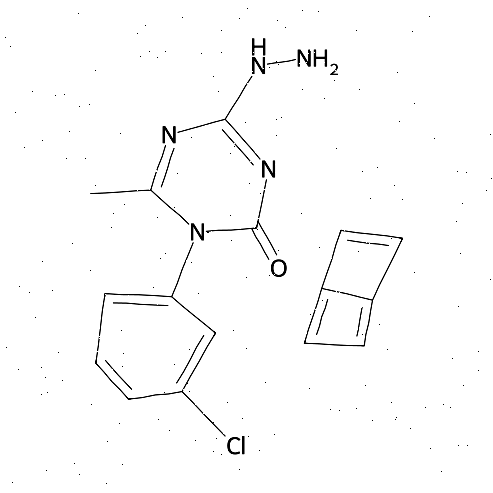 Cc1nc(NN)nc(=O)n1-c1cccc(Cl)c1.c1cc2ccc1-2